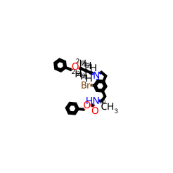 [2H]C([2H])(OCc1ccccc1)C([2H])([2H])C([2H])([2H])N1CCc2cc(C[C@H](C)NC(=O)OCc3ccccc3)cc(Br)c21